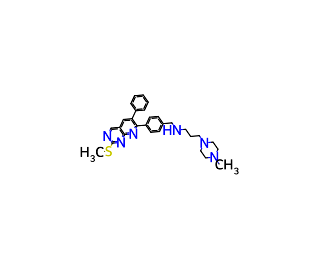 CSc1ncc2cc(-c3ccccc3)c(-c3ccc(CNCCCN4CCN(C)CC4)cc3)nc2n1